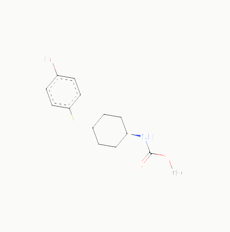 CC(C)(C)OC(=O)N[C@H]1CC[C@H](Sc2ccc(Br)cc2)CC1